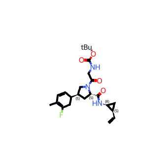 C=C[C@@H]1C[C@H]1NC(=O)[C@@H]1C[C@@H](C2C=CC(C)=C(F)C2)CN1C(=O)CNC(=O)OC(C)(C)C